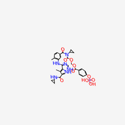 Cc1ccc(C(=O)N(C(=O)OCOC(=O)c2ccc(OP(=O)(O)O)cc2)C2CC2)cc1N/C(=N/C=N)c1[nH]cc(C(=O)NC2CC2)c1C